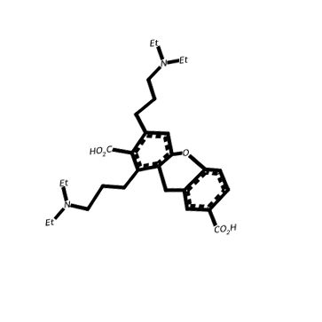 CCN(CC)CCCc1cc2c(c(CCCN(CC)CC)c1C(=O)O)Cc1cc(C(=O)O)ccc1O2